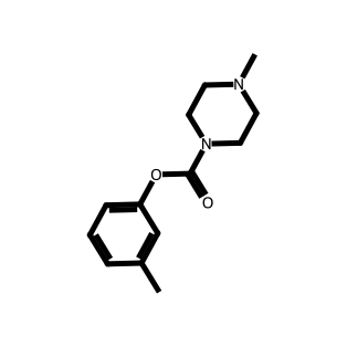 Cc1cccc(OC(=O)N2CCN(C)CC2)c1